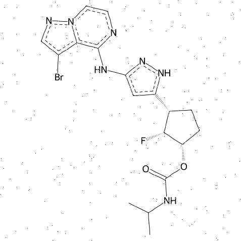 CC(C)NC(=O)O[C@H]1CC[C@@H](c2cc(Nc3nccn4ncc(Br)c34)n[nH]2)[C@H]1F